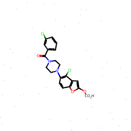 O=C(O)Oc1cc2c(Cl)c(N3CCN(C(=O)c4cccc(Cl)c4)CC3)ccc2o1